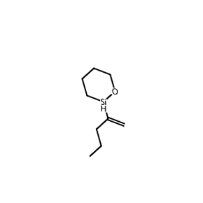 C=C(CCC)[SiH]1CCCCO1